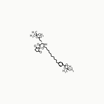 CC(C)(C)OC(=O)CC[C@H](NC(=O)CCCCCCCCCCc1ccc(C(=O)OC(C)(C)C)cc1)C(=O)ON1C(=O)CCC1=O